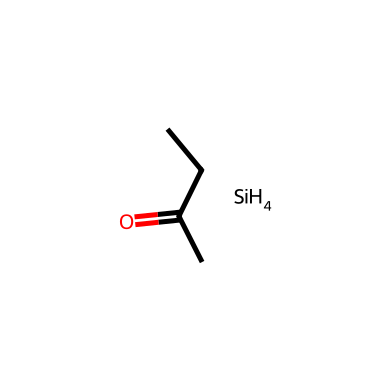 CCC(C)=O.[SiH4]